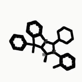 Cc1ccccc1N1C(C2CCCCC2)N2c3ccccc3C(C)(c3ccccc3)C2[C@@H]1C